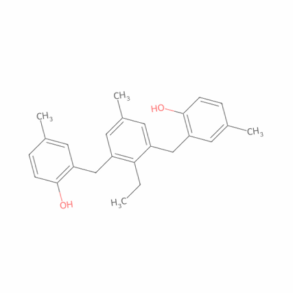 CCc1c(Cc2cc(C)ccc2O)cc(C)cc1Cc1cc(C)ccc1O